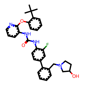 CC(C)(C)c1ccccc1Oc1ncccc1NC(=O)Nc1ccc(-c2ccccc2CN2CCC(O)C2)cc1F